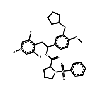 COc1ccc(C(Cc2c(Cl)c[n+]([O-])cc2Cl)OC(=O)C2CCCN2S(=O)(=O)c2ccccc2)cc1OC1CCCC1